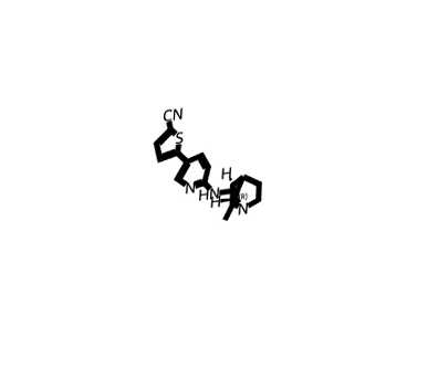 C[C@@H]1[C@@H](Nc2ccc(-c3ccc(C#N)s3)cn2)C2CCN1CC2